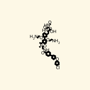 CC(c1ccc(OCCN)c(-c2cc(CC(NC(=O)[C@H](C)NC=O)C(=O)O)ccc2OCCN)c1)N(C)C(=O)CNC(=O)c1ccc(-c2ccc(Oc3ccc(Cl)cc3)cc2)cc1